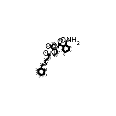 NC(=O)c1ccccc1C(=O)N1CC(=O)C2C1CCN2C(=O)[CH]CSCc1ccccc1